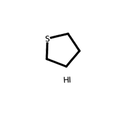 C1CCSC1.I